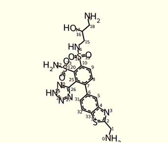 NCc1nc2cc(-c3ccc(S(=O)(=O)NCC(O)CN)c(S(N)(=O)=O)c3-c3nn[nH]n3)ccc2s1